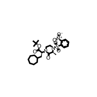 C[C@H]1C(=O)N([C@@H](CC2CCCCCC2)C(=O)OC(C)(C)C)CCN1S(=O)(=O)c1ccccc1[N+](=O)[O-]